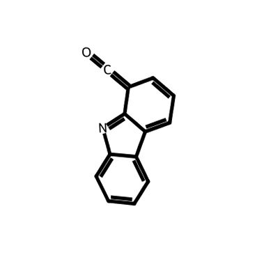 O=C=c1cccc2c1=Nc1ccccc1-2